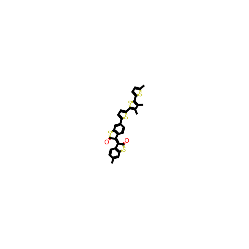 Cc1ccc2c(c1)SC(=O)/C2=C1/C(=O)Sc2cc(-c3ccc(-c4sc(-c5ccc(C)s5)c(C)c4C)s3)ccc21